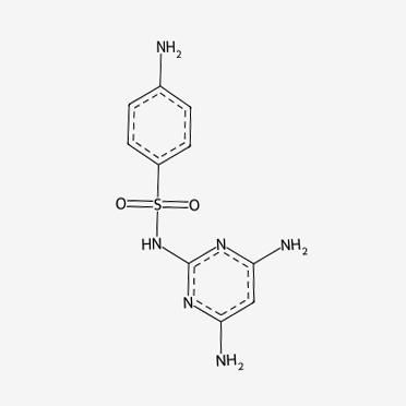 Nc1ccc(S(=O)(=O)Nc2nc(N)cc(N)n2)cc1